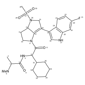 CNC(C)C(=O)NC(C(=O)N1CCC2C1=C(c1c[nH]c3cc(F)ccc13)CN2S(C)(=O)=O)C1CCCCC1